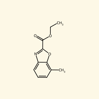 CCOC(=O)c1nc2cccc(C)c2o1